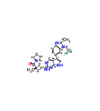 Cc1nc2ccc(-c3c[nH]c4nc(N[C@H]5C[C@@](C)(C(=O)N6CCCC6)C5)ncc34)cc2n1CC(F)F